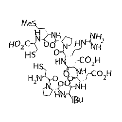 CC[C@H](C)[C@H](NC(=O)[C@@H]1CCCN1C(=O)[C@@H](N)CS)C(=O)N[C@@H](CCC(=O)O)C(=O)N[C@@H](CC(=O)O)C(=O)N[C@@H](CCCNC(=N)N)C(=O)N1CCC[C@H]1C(=O)N[C@@H](CCSC)C(=O)N[C@@H](CS)C(=O)O